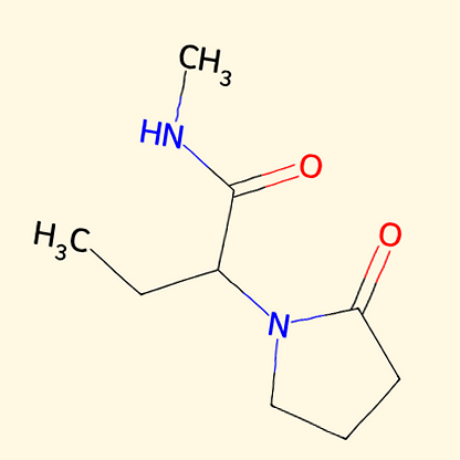 CCC(C(=O)NC)N1CCCC1=O